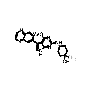 COc1nc(N[C@H]2CC[C@@](C)(O)CC2)nc2[nH]cc(-c3ccc4nccnc4c3)c12